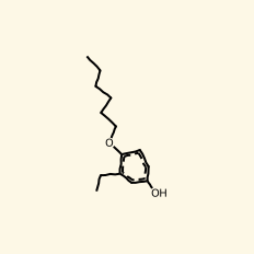 CCCCCCOc1ccc(O)cc1CC